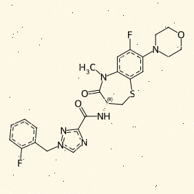 CN1C(=O)[C@@H](NC(=O)c2ncn(Cc3ccccc3F)n2)CSc2cc(N3CCOCC3)c(F)cc21